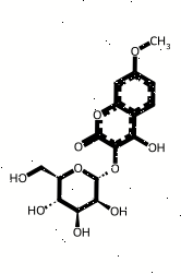 COc1ccc2c(O)c(O[C@H]3O[C@H](CO)[C@@H](O)[C@H](O)[C@@H]3O)c(=O)oc2c1